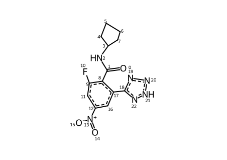 O=C(NC1CCCC1)c1c(F)cc([N+](=O)[O-])cc1-c1nn[nH]n1